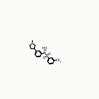 CN1CCC(c2cccc(NS(=O)(=O)c3cccc(C(F)(F)F)c3)c2)C1.Cl